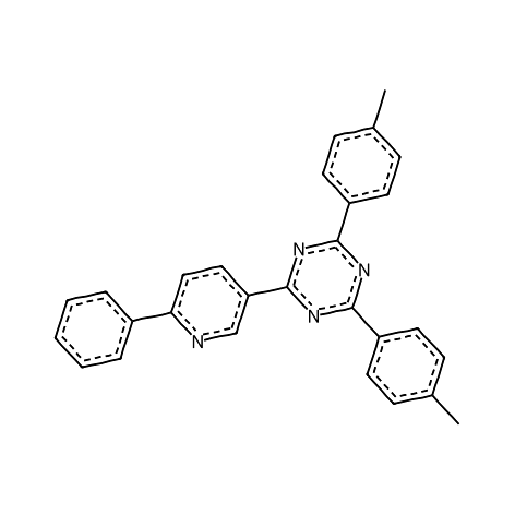 Cc1ccc(-c2nc(-c3ccc(C)cc3)nc(-c3ccc(-c4ccccc4)nc3)n2)cc1